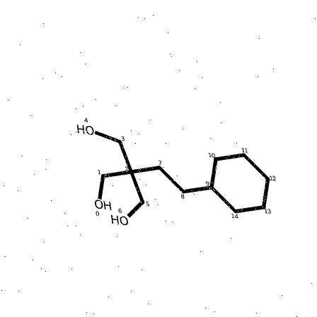 OCC(CO)(CO)CCC1CCCCC1